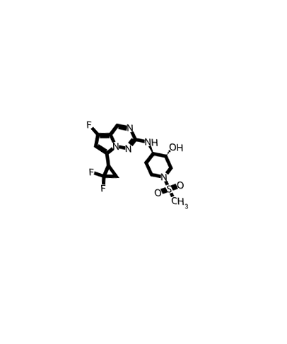 CS(=O)(=O)N1CC[C@@H](Nc2ncc3c(F)cc(C4CC4(F)F)n3n2)[C@H](O)C1